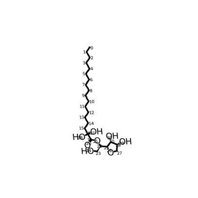 CCCCCCCCCCCCCCCCC(O)(O)C(=O)O[C@H](CO)[C@H]1OC[C@H](O)[C@H]1O